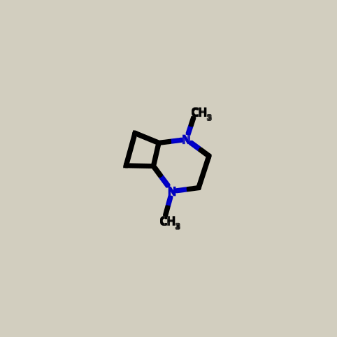 CN1CCN(C)C2CCC21